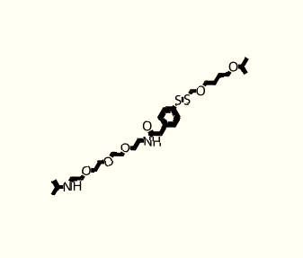 CC(C)NCCOCCOCCOCCNC(=O)Cc1ccc(SSCOCCCCOC(C)C)cc1